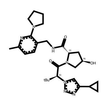 Cc1ccc(CNC(=O)[C@@H]2C[C@@H](O)CN2C(=O)[C@@H](n2cc(C3CC3)nn2)C(C)(C)C)c(N2CCCC2)n1